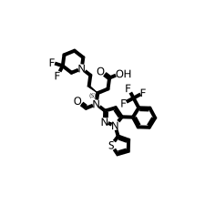 O=CN(c1cc(-c2ccccc2C(F)(F)F)n(-c2cccs2)n1)[C@@H](CCN1CCCC(F)(F)C1)CC(=O)O